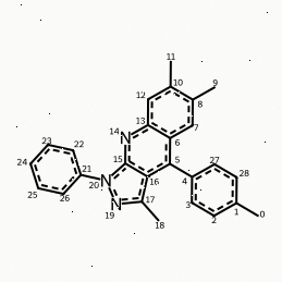 Cc1ccc(-c2c3cc(C)c(C)cc3nc3c2c(C)nn3-c2ccccc2)cc1